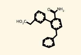 NC(=O)c1ccc(Cc2ccccc2)cc1-c1cccc(CC(=O)O)c1